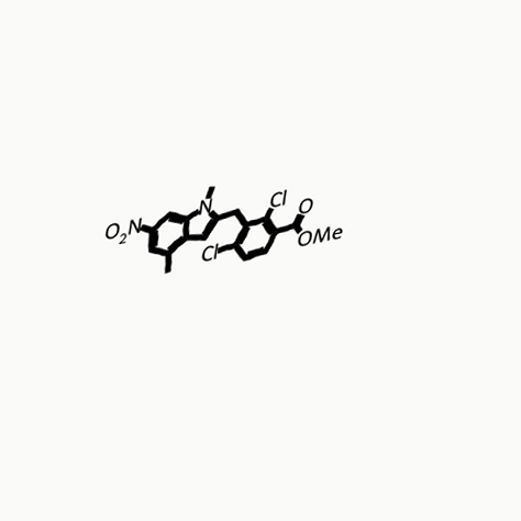 COC(=O)c1ccc(Cl)c(Cc2cc3c(C)cc([N+](=O)[O-])cc3n2C)c1Cl